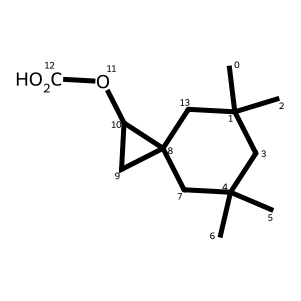 CC1(C)CC(C)(C)CC2(CC2OC(=O)O)C1